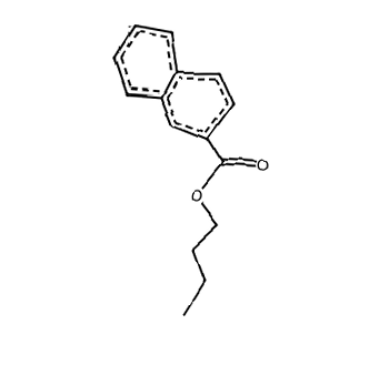 CCCCOC(=O)c1ccc2c[c]ccc2c1